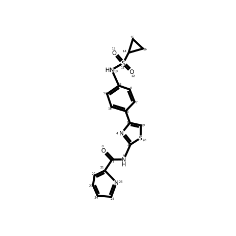 O=C(Nc1nc(-c2ccc(NS(=O)(=O)C3CC3)cc2)cs1)c1ccccn1